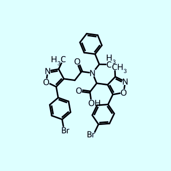 Cc1noc(-c2ccc(Br)cc2)c1CC(=O)N(C(C)c1ccccc1)C(C(=O)O)c1c(C)noc1-c1ccc(Br)cc1